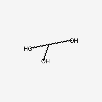 OCCCCCCCCCCCCCCCC(CCCCCCCCCCO)CCCCCCCCCCCO